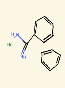 Cl.N=C(N)c1ccccc1.c1ccccc1